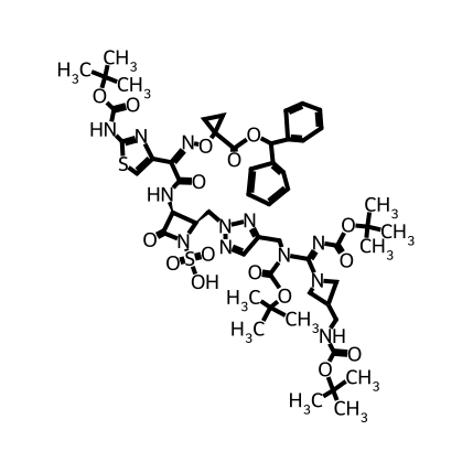 CC(C)(C)OC(=O)N=C(N1CC(CNC(=O)OC(C)(C)C)C1)N(Cc1cnn(C[C@@H]2[C@H](NC(=O)C(=NOC3(C(=O)OC(c4ccccc4)c4ccccc4)CC3)c3csc(NC(=O)OC(C)(C)C)n3)C(=O)N2S(=O)(=O)O)n1)C(=O)OC(C)(C)C